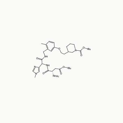 CC(=O)N[C@@H](CC(=O)OC(C)(C)C)C(=O)NC(C(=O)NCc1cc(OCCC2CCCN(C(=O)OC(C)(C)C)C2)ccc1C)c1cn(C)cn1